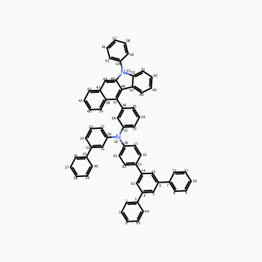 c1ccc(-c2cc(-c3ccccc3)cc(-c3ccc(N(c4cccc(-c5ccccc5)c4)c4cccc(-c5c6ccccc6cc6c5c5ccccc5n6-c5ccccc5)c4)cc3)c2)cc1